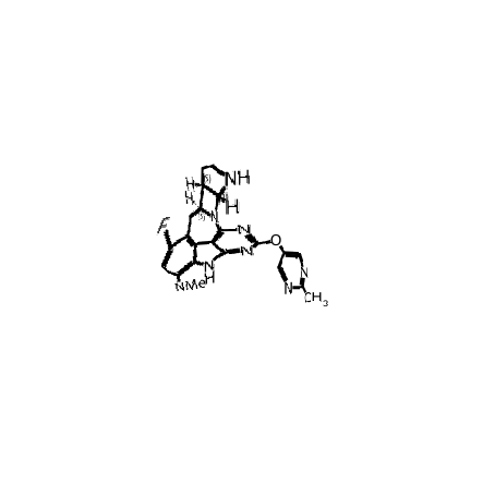 CNc1cc(F)c2c3c1[nH]c1nc(Oc4cnc(C)nc4)nc(c13)N1[C@@H](C2)[C@@H]2CCN[C@@H]21